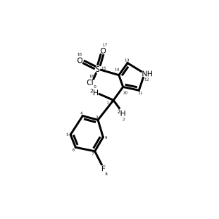 [2H]C([2H])(c1cccc(F)c1)c1c[nH]cc1S(=O)(=O)Cl